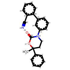 CC1(c2ccccc2)CCN(c2cccc(-c3ccccc3C#N)c2)C(=O)O1